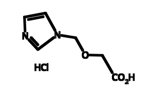 Cl.O=C(O)COCn1ccnc1